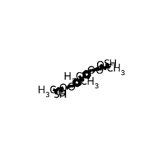 CC(S)CC(=O)OCCOc1ccc(C(C)(C)c2ccc(OCCOC(=O)CC(C)S)cc2)cc1